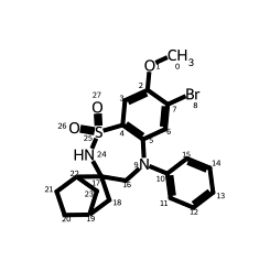 COc1cc2c(cc1Br)N(c1ccccc1)CC1(CC3CCC1C3)NS2(=O)=O